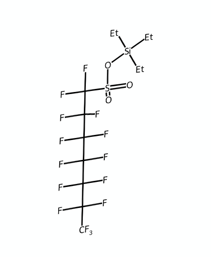 CC[Si](CC)(CC)OS(=O)(=O)C(F)(F)C(F)(F)C(F)(F)C(F)(F)C(F)(F)C(F)(F)C(F)(F)F